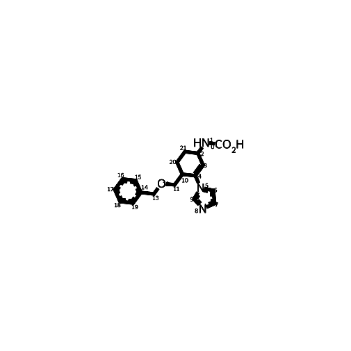 O=C(O)NC1C=C(n2ccnc2)C(COCc2ccccc2)CC1